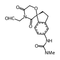 CNC(=O)Nc1ccc2c(c1)CC[C@@]21OCC(=O)N(CC=O)C1=O